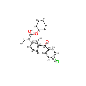 CCC(C(=O)OC1CCCCC1)c1cccc(C(=O)c2ccc(Cl)cc2)c1C